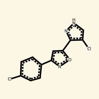 Clc1ccc(-c2cc(-c3n[nH]cc3Cl)on2)cc1